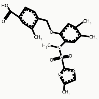 Cc1csc(S(=O)(=O)N(C)c2cc(C)c(C)cc2OCc2ccc(C(=O)O)cc2C)n1